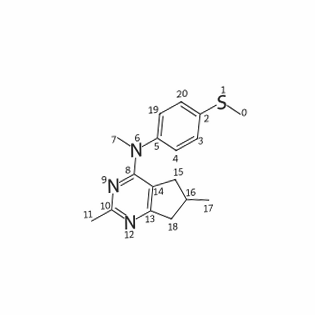 CSc1ccc(N(C)c2nc(C)nc3c2CC(C)C3)cc1